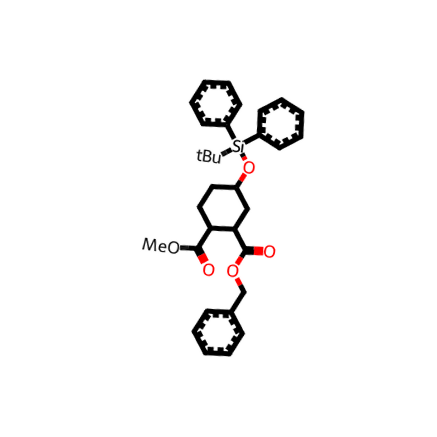 COC(=O)C1CCC(O[Si](c2ccccc2)(c2ccccc2)C(C)(C)C)CC1C(=O)OCc1ccccc1